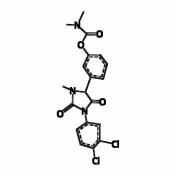 CN(C)C(=O)Oc1cccc(C2C(=O)N(c3ccc(Cl)c(Cl)c3)C(=O)N2C)c1